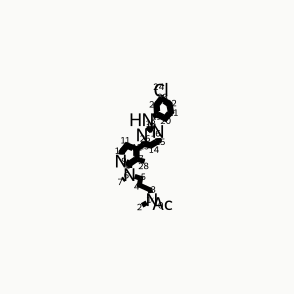 CC(=O)N(C)CCCN(C)c1nccc(-c2ccnc(Nc3cccc(Cl)c3)n2)c1C